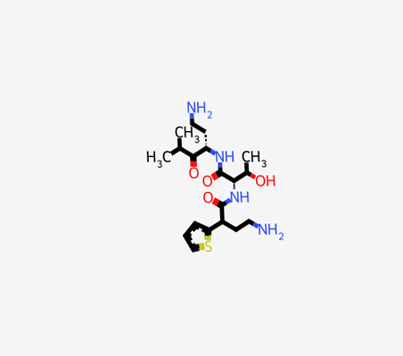 CC(C)C(=O)[C@H](CCN)NC(=O)[C@@H](NC(=O)C(CCN)c1cccs1)C(C)O